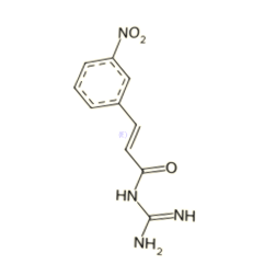 N=C(N)NC(=O)/C=C/c1cccc([N+](=O)[O-])c1